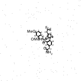 COc1ccc(CNS(=O)(=O)c2cc(CC(N)=O)ccc2-n2cc(CC(F)F)cn2)c(OC)c1